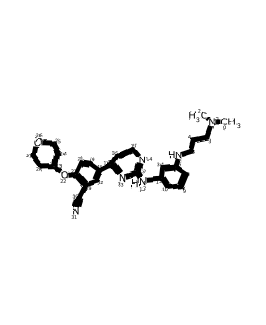 CN(C)CCCNc1cccc(Nc2nccc(-c3ccc(OC4CCOCC4)c(C#N)c3)n2)c1